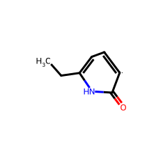 CCc1cc[c]c(=O)[nH]1